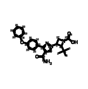 CC(C)(C)C1C(n2cc(C(N)=O)c(-c3ccc(Oc4ccccc4)cc3)n2)CN1C(=O)O